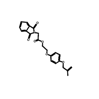 C=C(C)COc1ccc(OCCOC(=O)CN2C(=O)c3ccccc3C2=O)cc1